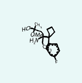 COC(C)(O)CC(C)(N)C1(c2ccc(F)cc2)CCC1